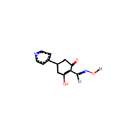 CCON=C(CC)C1=C(O)CC(c2ccncc2)CC1=O